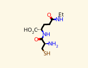 CCNC(=O)CC[C@H](NC(=O)[C@@H](N)CS)C(=O)O